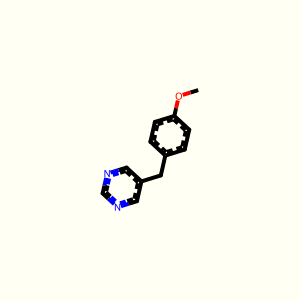 COc1ccc(Cc2cncnc2)cc1